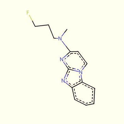 CN(CCCF)c1ccn2c(n1)nc1ccccc12